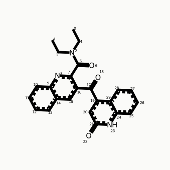 CCN(CC)C(=O)c1nc2ccccc2cc1C(=O)c1cc(=O)[nH]c2ccccc12